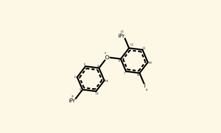 CC(C)c1ccc(Oc2cc(I)ccc2C(C)C)cc1